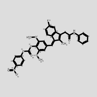 COc1cc(/C=C2/C(C)=C(CC(=O)Nc3ccccc3)c3cc(F)ccc32)cc(OC)c1OC(=O)Oc1ccc([N+](=O)[O-])cc1